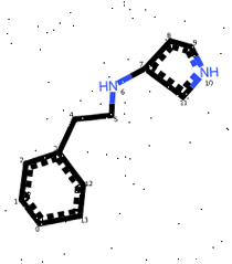 c1ccc(CCNc2cc[nH]c2)cc1